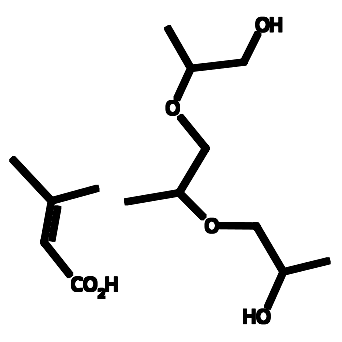 CC(C)=CC(=O)O.CC(O)COC(C)COC(C)CO